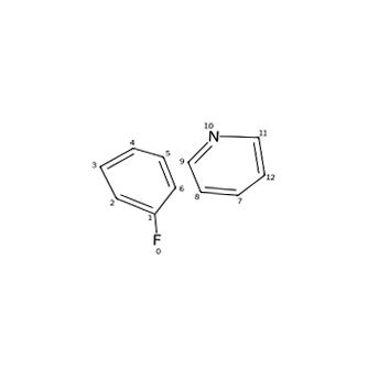 Fc1ccccc1.c1ccncc1